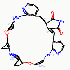 O=C1NC(=O)/C2=C/c3cccnc3N/C=C/OC3=C(C3)/N=C3\CC3O/C=C\Nc3ncccc3\C=C/12